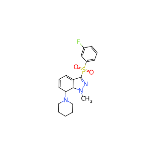 CN1N=C(S(=O)(=O)c2cccc(F)c2)C2=CC=CC(N3CCCCC3)C21